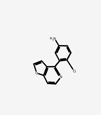 Nc1ccc(Cl)c(-c2nccc3occc23)c1